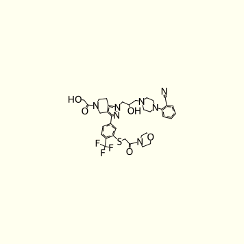 N#Cc1ccccc1N1CCN(CC(O)Cn2nc(-c3ccc(C(F)(F)F)c(SCC(=O)N4CCOCC4)c3)c3c2CCN(C(=O)CO)C3)CC1